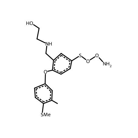 CSc1ccc(Oc2ccc(SOON)cc2CNCCO)cc1C